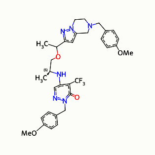 COc1ccc(CN2CCn3nc(C(C)OC[C@H](C)Nc4cnn(Cc5ccc(OC)cc5)c(=O)c4C(F)(F)F)cc3C2)cc1